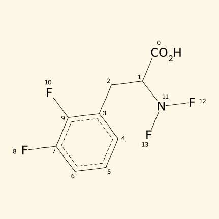 O=C(O)C(Cc1cccc(F)c1F)N(F)F